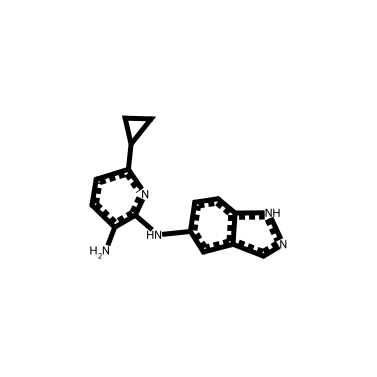 Nc1ccc(C2CC2)nc1Nc1ccc2[nH]ncc2c1